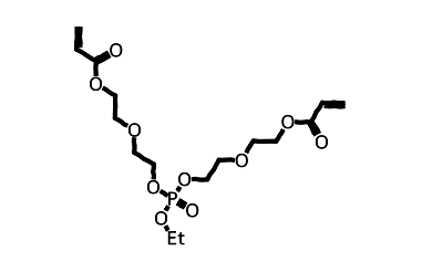 C=CC(=O)OCCOCCOP(=O)(OCC)OCCOCCOC(=O)C=C